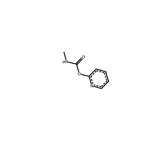 CNC(=O)Oc1ccccn1